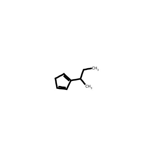 CCC(C)C1=[C]CC=C1